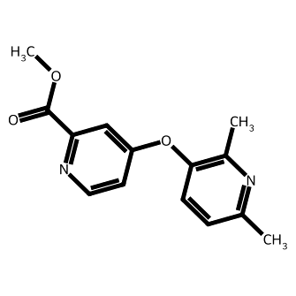 COC(=O)c1cc(Oc2ccc(C)nc2C)ccn1